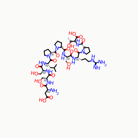 CC(C)C[C@H](NC(=O)[C@H](CO)NC(=O)[C@H](CO)NC(=O)[C@@H](N)CC(=O)O)C(=O)N1CCC[C@H]1C(=O)N1CCC[C@H]1C(=O)N[C@@H](CO)C(=O)N[C@@H](CCCNC(=N)N)C(=O)N1CCC[C@H]1C(=O)N[C@H](C(=O)O)[C@@H](C)O